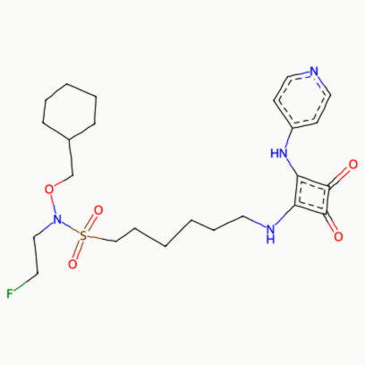 O=c1c(NCCCCCCS(=O)(=O)N(CCF)OCC2CCCCC2)c(Nc2ccncc2)c1=O